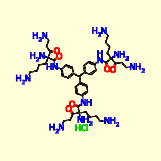 Cl.NCCCC[C@](N)(C(=O)CCN)C(=O)Nc1ccc(C(c2ccc(NC(=O)[C@](N)(CCCCN)C(=O)CCN)cc2)c2ccc(NC(=O)[C@](N)(CCCCN)C(=O)CCN)cc2)cc1